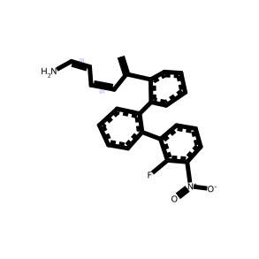 C=C(/C=C\C=C/N)c1ccccc1-c1ccccc1-c1cccc([N+](=O)[O-])c1F